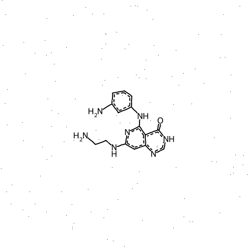 NCCNc1cc2nc[nH]c(=O)c2c(Nc2cccc(N)c2)n1